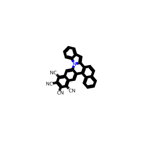 N#Cc1c(C#N)c(C#N)c2cc3c(cc2c1C#N)c1c2ccccc2ccc1c1cc2ccccc2n13